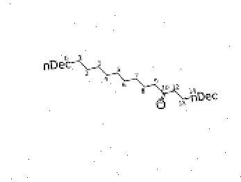 CCCCCCCCCCCCCCCCCCCC(=O)CCCCCCCCCCCC